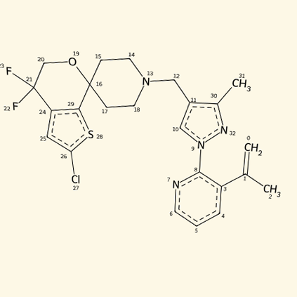 C=C(C)c1cccnc1-n1cc(CN2CCC3(CC2)OCC(F)(F)c2cc(Cl)sc23)c(C)n1